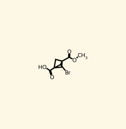 COC(=O)C12CC(C(=O)O)(C1)C2Br